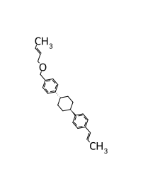 CC=CCOCc1ccc([C@H]2CC[C@H](c3ccc(C=CC)cc3)CC2)cc1